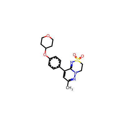 CC1=NN2CCS(=O)(=O)N=C2C(c2ccc(OC3CCOCC3)cc2)=C1